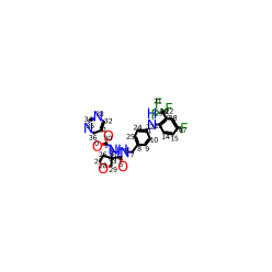 O=C(N[C@@]1(C(=O)NCc2ccc(Nc3ccc(F)cc3C(F)(F)F)cc2)CCOC1)Oc1cncnc1